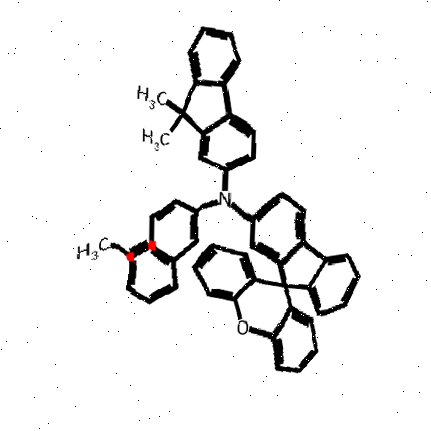 C/C=C\C=C/C(=Cc1ccccc1)N(c1ccc2c(c1)C(C)(C)c1ccccc1-2)c1ccc2c(c1)C1(c3ccccc3Oc3ccccc31)c1ccccc1-2